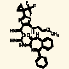 COCCNc1sc(C2(C(F)(F)F)CC2)nc1C(=N)OC(=N)NC1N=C(c2ccccc2)c2ccccc2NC1=O